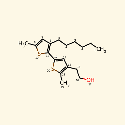 CCCCCCc1cc(C)sc1-c1cc(CCO)c(C)s1